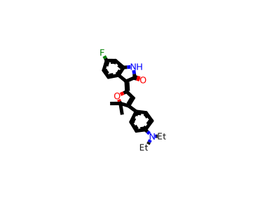 CCN(CC)c1ccc(C2=C/C(=C3\C(=O)Nc4cc(F)ccc43)OC2(C)C)cc1